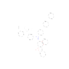 CC1(C)c2ccccc2-c2ccc(N(c3ccc4c(c3)oc3ccccc34)c3ccc(-c4ccc(-c5ccccc5)cc4)cc3-c3ccccc3)cc21